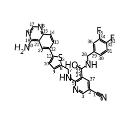 N#Cc1cnc(NCc2ccc(-c3ccc4ncnc(N)c4c3)s2)c(C(O)NCc2ccc(F)c(F)c2)c1